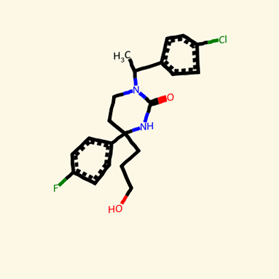 CC(c1ccc(Cl)cc1)N1CCC(CCCO)(c2ccc(F)cc2)NC1=O